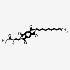 CCCCCCCCCCn1c(=O)c2cc3c(=O)n(CCNC(C)=O)c(=O)c3cc2c1=O